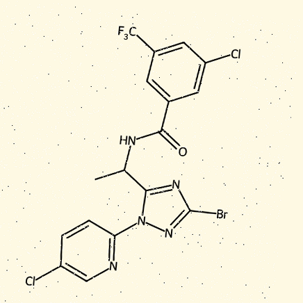 CC(NC(=O)c1cc(Cl)cc(C(F)(F)F)c1)c1nc(Br)nn1-c1ccc(Cl)cn1